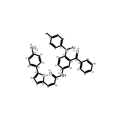 CC(=O)N(c1ccc(C)cc1)c1ccc(NC(=O)/C=C\c2ccc(-c3ccc([N+](=O)[O-])cc3)o2)cc1C(=O)c1ccccc1